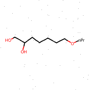 CCCOCCCCCC(O)CO